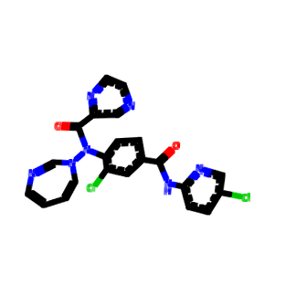 O=C(Nc1ccc(Cl)cn1)c1ccc(N(C(=O)c2cnccn2)N2C=CC=CN=C2)c(Cl)c1